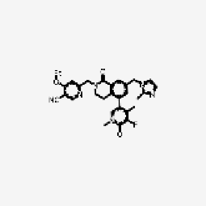 CCOc1cc(CN2CCc3c(cc(Cn4ccnc4C)cc3-c3cn(C)c(=O)c(F)c3C)C2=O)ncc1C#N